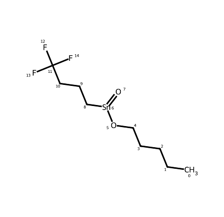 CCCCC[O][Sn](=[O])[CH2]CCC(F)(F)F